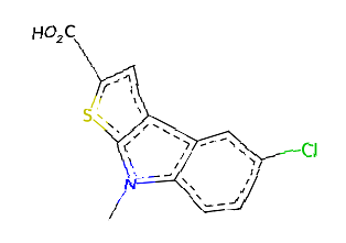 Cn1c2ccc(Cl)cc2c2cc(C(=O)O)sc21